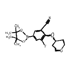 CC1(C)OB(c2cc(F)c(OC3CCOCC3)c(C#N)c2)OC1(C)C